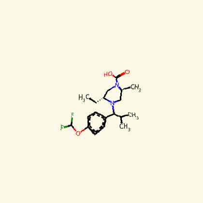 CC[C@@H]1CN(C(=O)O)[C@@H](C)CN1C(c1ccc(OC(F)F)cc1)C(C)C